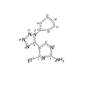 CCc1nc(N)ncc1-c1nnnn1-c1ccccc1